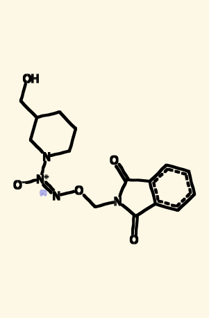 O=C1c2ccccc2C(=O)N1CO/N=[N+](/[O-])N1CCCC(CO)C1